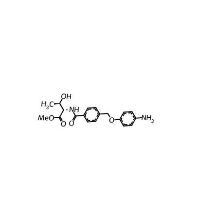 COC(=O)[C@@H](NC(=O)c1ccc(COc2ccc(N)cc2)cc1)[C@@H](C)O